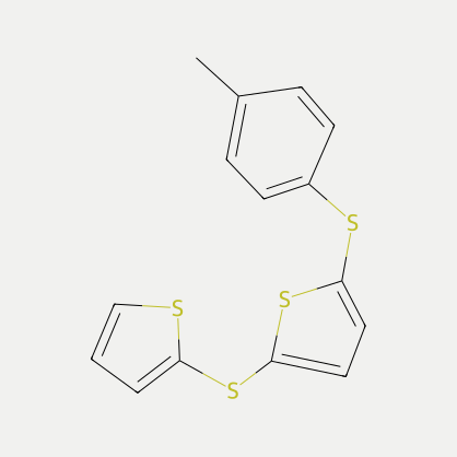 Cc1ccc(Sc2ccc(Sc3cccs3)s2)cc1